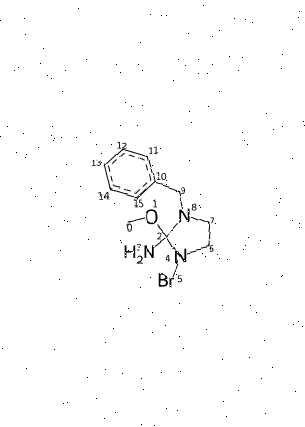 COC1(N)N(Br)CCN1Cc1ccccc1